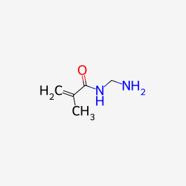 C=C(C)C(=O)NCN